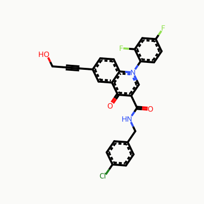 O=C(NCc1ccc(Cl)cc1)c1cn(-c2ccc(F)cc2F)c2ccc(C#CCO)cc2c1=O